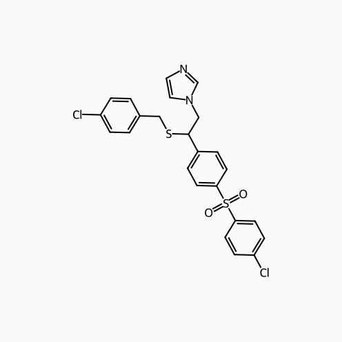 O=S(=O)(c1ccc(Cl)cc1)c1ccc(C(Cn2ccnc2)SCc2ccc(Cl)cc2)cc1